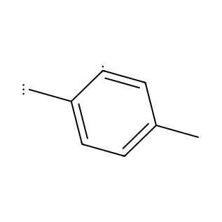 [C]c1[c]cc(C)cc1